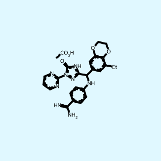 CC(=O)O.CCc1cc(C(Nc2ccc(C(=N)N)cc2)c2nn(-c3ncccn3)c(=O)[nH]2)cc2c1OCCO2